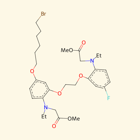 CCN(CC(=O)OC)c1ccc(F)cc1OCCOc1cc(OCCCCCCBr)ccc1N(CC)CC(=O)OC